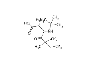 CCC(C)(C)C(=O)C(NC(C)(C)C)C(C)C(=O)O